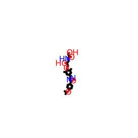 Cc1cc(-c2noc(-c3ccc(OC(C)C)cc3)n2)cc(C)c1OCC(O)CNC(=O)CO